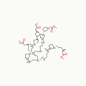 COC(=O)C[C@H](C)CCC[C@H]1CC[C@H]([C@H](C)CCC[C@H](C)CC[C@H](CCC[C@@H](C)[C@H]2CC[C@H](CCC[C@@H](C)CC(=O)OC)C2)CC[C@@H](CCC[C@@H](C)[C@H]2CC[C@H](C3CC[C@H](CC(=O)OC)C3)C2)CC[C@@H](C)CCC[C@@H](C)[C@H]2CC[C@H](C3CC[C@H](CC(=O)OC)C3)C2)C1